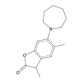 Cc1cc2c(cc1N1CCCCCC1)OC(=O)C2C